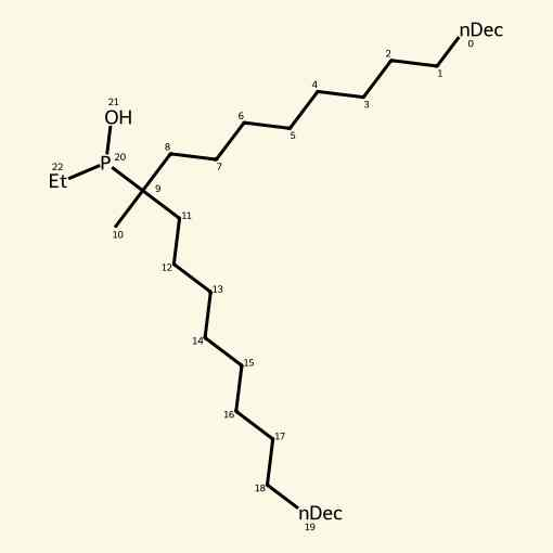 CCCCCCCCCCCCCCCCCCC(C)(CCCCCCCCCCCCCCCCCC)P(O)CC